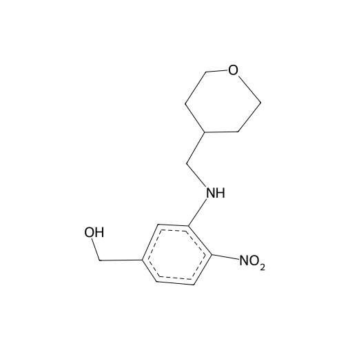 O=[N+]([O-])c1ccc(CO)cc1NCC1CCOCC1